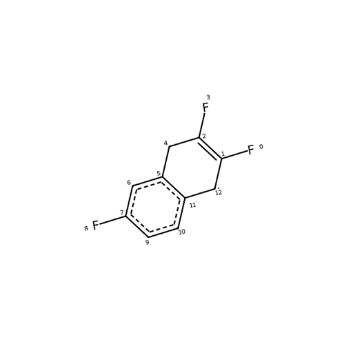 FC1=C(F)Cc2cc(F)ccc2[CH]1